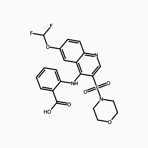 O=C(O)c1ccccc1Nc1c(S(=O)(=O)N2CCOCC2)cnc2ccc(OC(F)F)cc12